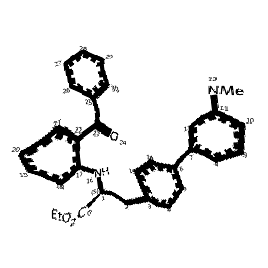 CCOC(=O)[C@H](Cc1ccc(-c2cccc(NC)c2)cc1)Nc1ccccc1C(=O)c1ccccc1